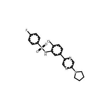 O=S(=O)(Nc1cc(-c2cnc(N3CCCC3)cn2)ccc1Cl)c1ccc(F)cc1